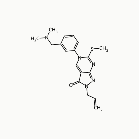 C=CCn1nc2nc(SC)n(-c3cccc(CN(C)C)c3)cc-2c1=O